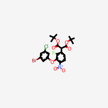 CC(C)(C)OC(=O)C(C(=O)OC(C)(C)C)c1ccc([N+](=O)[O-])c(Oc2cc(Cl)cc(Br)c2)c1F